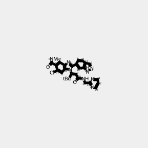 CNC(=O)c1cc2nc(-c3ccc4cn[nH]c4c3)n(C(CC(=O)NCc3ncccn3)C(C)(C)C)c2cc1Cl